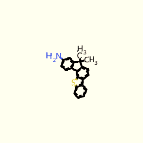 CC1(C)c2cc(N)ccc2-c2c1ccc1c2sc2ccccc21